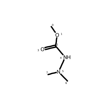 COC(=O)NN(C)C